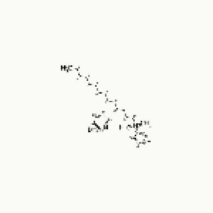 CCCCCCCCCCCCCC[N+](C)(C)c1cc[nH]n1.[Br-].c1ccncc1